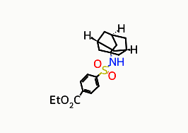 CCOC(=O)c1ccc(S(=O)(=O)N[C@]23C[C@H]4C[C@H](C[C@H](C4)C2)C3)cc1